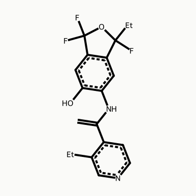 C=C(Nc1cc2c(cc1O)C(F)(F)OC2(F)CC)c1ccncc1CC